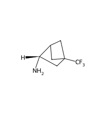 N[C@H]1CC2(C(F)(F)F)CC1C2